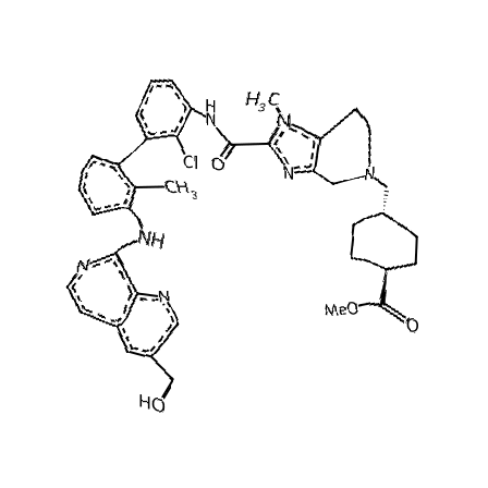 COC(=O)[C@H]1CC[C@H](CN2CCc3c(nc(C(=O)Nc4cccc(-c5cccc(Nc6nccc7cc(CO)cnc67)c5C)c4Cl)n3C)C2)CC1